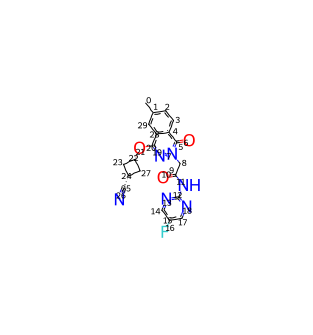 Cc1ccc2c(=O)n(CC(=O)Nc3ncc(F)cn3)nc(O[C@H]3C[C@@H](C#N)C3)c2c1